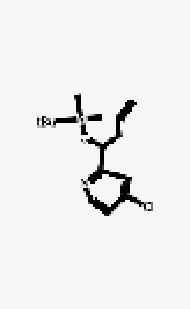 C=CCC(O[Si](C)(C)C(C)(C)C)c1cc(Cl)ccn1